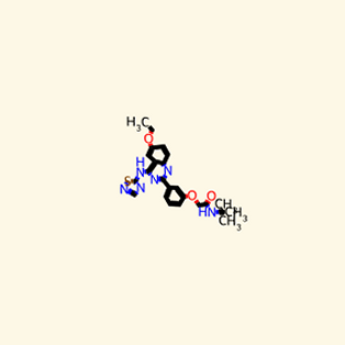 CCOc1ccc2nc(-c3cccc(OCC(=O)NC(C)(C)C)c3)nc(Nc3ncns3)c2c1